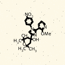 COc1ncccc1-c1nc(C2(O)CC(C)(C)OC(C)(C)C2)cn1-c1ccc([N+](=O)[O-])cc1